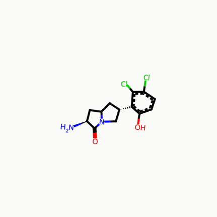 N[C@H]1CC2C[C@H](c3c(O)ccc(Cl)c3Cl)CN2C1=O